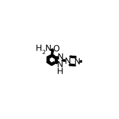 CN1CCN(c2nc3c(C(N)=O)cccc3[nH]2)CC1